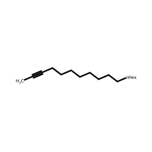 [CH2]C#CCCCCCCCCCCCCC[CH2]